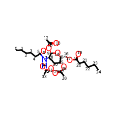 CCCCCC(=O)N[C@H]1[C@@H](OC(C)=O)O[C@H](COC(=O)CCCCC)[C@@H](OC(C)=O)[C@@H]1OC(C)=O